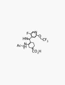 CC(=O)C(C)NC1=C(C(=N)c2cc(OCC(F)(F)F)ncc2F)CC[C@@H](C(=O)O)C1